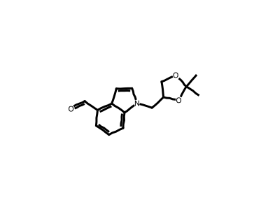 CC1(C)OCC(Cn2ccc3c(C=O)cccc32)O1